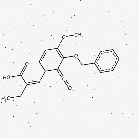 CCC(=CC1C=CC(OC)=C(OCc2ccccc2)C1=C=O)C(=O)O